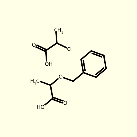 CC(Cl)C(=O)O.CC(OCc1ccccc1)C(=O)O